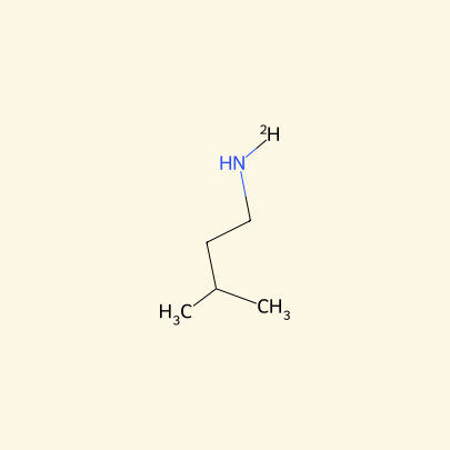 [2H]NCCC(C)C